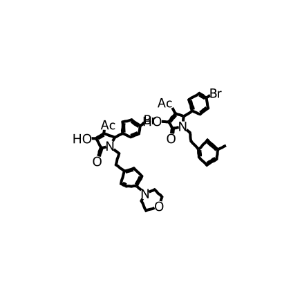 CC(=O)C1=C(O)C(=O)N(CCc2ccc(N3CCOCC3)cc2)C1c1ccc(Br)cc1.CC(=O)C1=C(O)C(=O)N(CCc2cccc(C)c2)C1c1ccc(Br)cc1